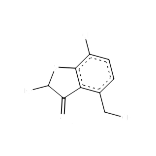 C=C1c2c(CC)ccc(Cl)c2SC1O